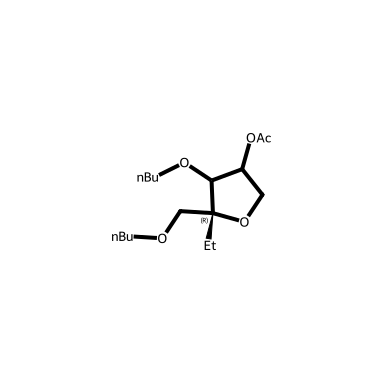 CCCCOC[C@@]1(CC)OCC(OC(C)=O)C1OCCCC